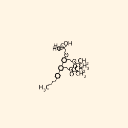 C=C(C)C(=O)OCCc1cc(-c2ccc(-c3ccc(CCCCC)cc3)cc2CCOC(=O)C(=C)C)ccc1OCCC(C)(CO)CO